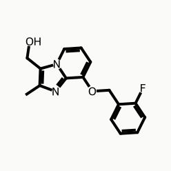 Cc1nc2c(OCc3ccccc3F)cccn2c1CO